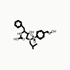 CC(C)CN(CC(O)C(Cc1ccccc1)NC(=O)O)S(=O)(=O)c1ccc(C=NO)cc1